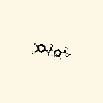 COC(=O)[C@H]1C[C@@H](C(=O)N(C)c2ccc(F)c(Cl)c2)N[C@H]1C